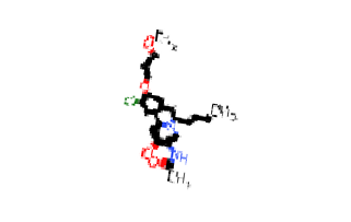 CCCCC1Cc2cc(OCCCOC)c(Cl)cc2-c2cc(=O)c(NC(C)=O)cn21